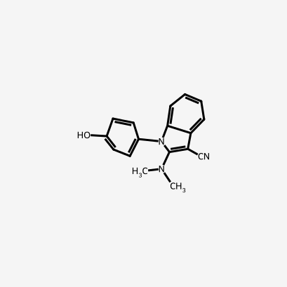 CN(C)c1c(C#N)c2ccccc2n1-c1ccc(O)cc1